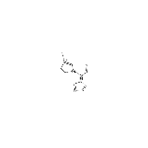 C=C[SiH](n1ccnc1)n1cc[n+](C)c1